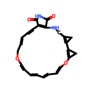 O=C1NC(=O)C2=C1/C=C\C=C\CO\C=C/C=C/C=C/C=C/OC1=C(C1)C1=C(CN2)C1